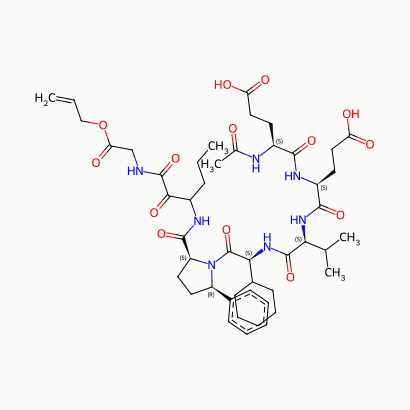 C=CCOC(=O)CNC(=O)C(=O)C(CCC)NC(=O)[C@@H]1CC[C@H](c2ccccc2)N1C(=O)[C@@H](NC(=O)[C@@H](NC(=O)[C@H](CCC(=O)O)NC(=O)[C@H](CCC(=O)O)NC(C)=O)C(C)C)C1CCCCC1